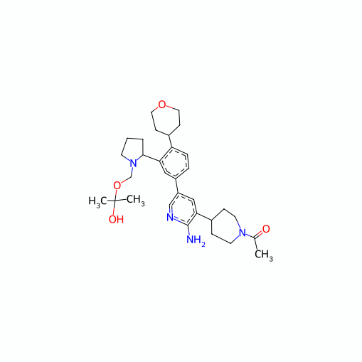 CC(=O)N1CCC(c2cc(-c3ccc(C4CCOCC4)c(C4CCCN4COC(C)(C)O)c3)cnc2N)CC1